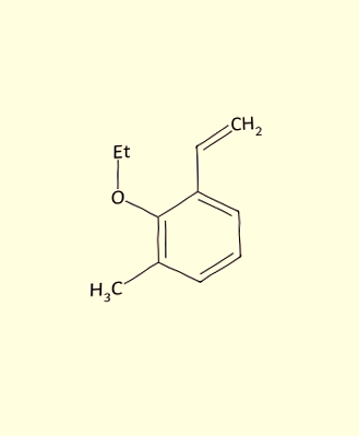 C=Cc1cccc(C)c1OCC